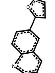 c1coc(-c2ccc3ncccc3c2)c1